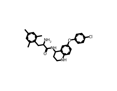 Cc1cc(C)c(CC(N)C(=O)NC2CCNc3ccc(Oc4ccc(Cl)cc4)cc32)c(C)c1